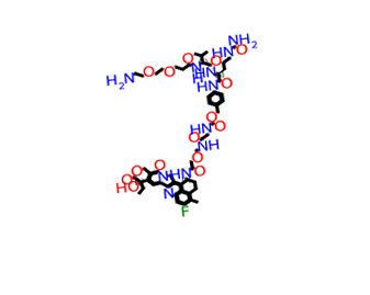 CC[C@@]1(O)C(=O)OCc2c1cc1n(c2=O)Cc2c-1nc1cc(F)c(C)c3c1c2[C@@H](NC(=O)COCNC(=O)CNC(=O)OCc1ccc(NC(=O)[C@H](CCCNC(N)=O)NC(=O)[C@@H](NC(=O)CCOCCOCCN)C(C)C)cc1)CC3